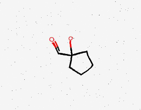 [O]C1(C=O)CCCC1